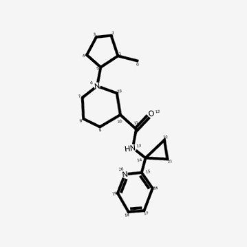 CC1CCCC1N1CCCC(C(=O)NC2(c3ccccn3)CC2)C1